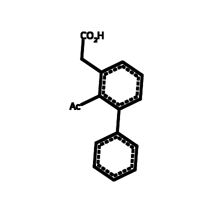 CC(=O)c1c(CC(=O)O)cccc1-c1ccccc1